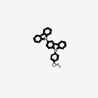 CC1=CCC(n2c3ccccc3c3cc(-n4c5ccccc5c5ccccc54)ccc32)C=C1